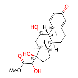 COC(=O)C(O)[C@@]1(O)CC[C@H]2[C@@H]3CCC4=CC(=O)C=C[C@]4(C)[C@H]3[C@@H](O)C[C@@]21C